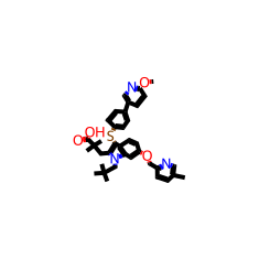 COc1ccc(-c2ccc(Sc3c(CC(C)(C)C(=O)O)n(CC(C)(C)C)c4cc(OCc5ccc(C)cn5)ccc34)cc2)cn1